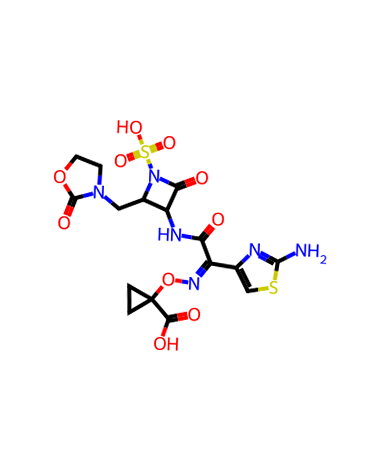 Nc1nc(/C(=N/OC2(C(=O)O)CC2)C(=O)NC2C(=O)N(S(=O)(=O)O)C2CN2CCOC2=O)cs1